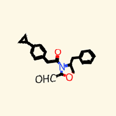 O=CC1OCC(Cc2ccccc2)N1C(=O)Cc1ccc(C2CC2)cc1